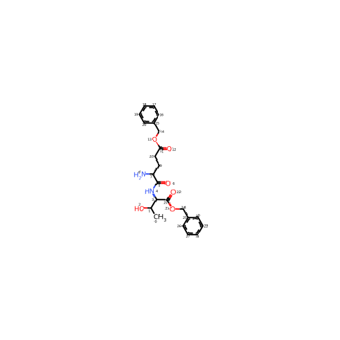 CC(O)C(NC(=O)C(N)CCC(=O)OCc1ccccc1)C(=O)OCc1ccccc1